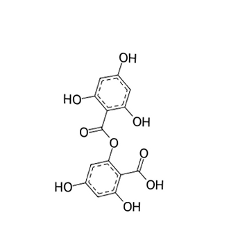 O=C(Oc1cc(O)cc(O)c1C(=O)O)c1c(O)cc(O)cc1O